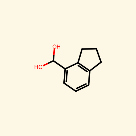 OC(O)c1cccc2c1CCC2